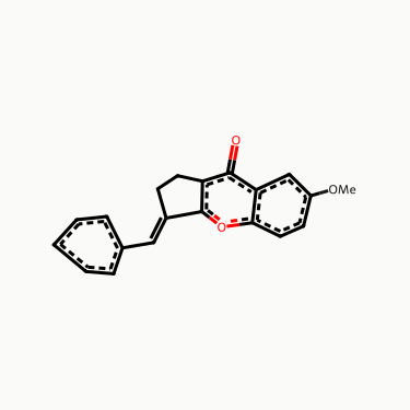 COc1ccc2oc3c(c(=O)c2c1)CCC3=Cc1ccccc1